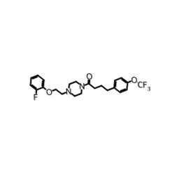 O=C(CCCc1ccc(OC(F)(F)F)cc1)N1CCN(CCOc2ccccc2F)CC1